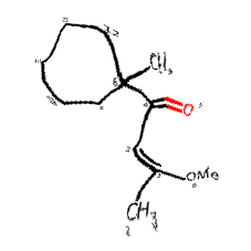 CO/C(C)=C\C(=O)C1(C)CCCCC1